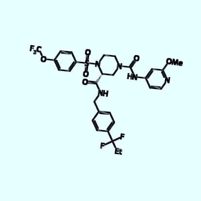 CCC(F)(F)c1ccc(CNC(=O)[C@H]2CN(C(=O)Nc3ccnc(OC)c3)CCN2S(=O)(=O)c2ccc(OC(F)(F)F)cc2)cc1